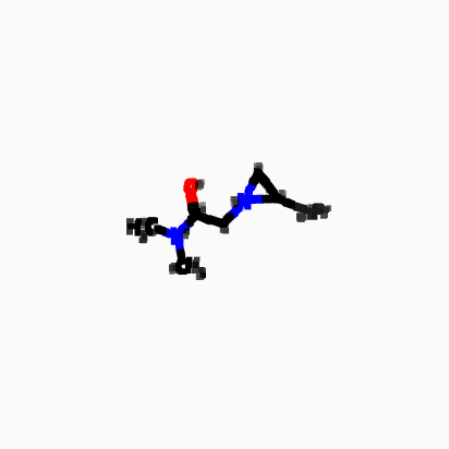 CC(C)C1CN1CC(=O)N(C)C